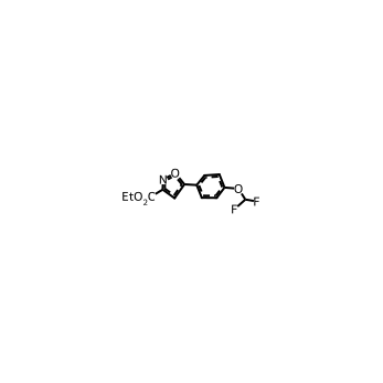 CCOC(=O)c1cc(-c2ccc(OC(F)F)cc2)on1